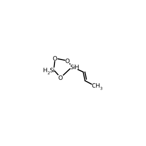 CC=C[SiH]1OO[SiH2]O1